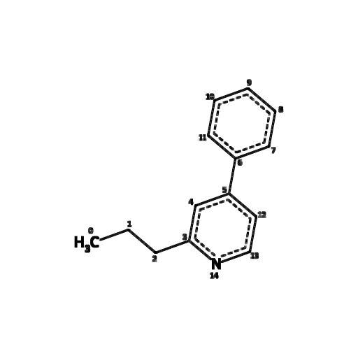 CCCc1cc(-c2ccccc2)ccn1